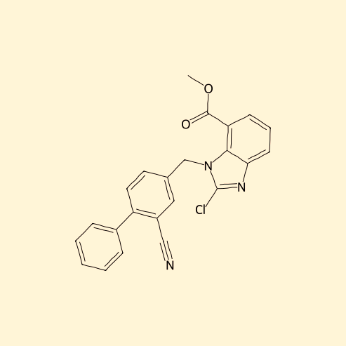 COC(=O)c1cccc2nc(Cl)n(Cc3ccc(-c4ccccc4)c(C#N)c3)c12